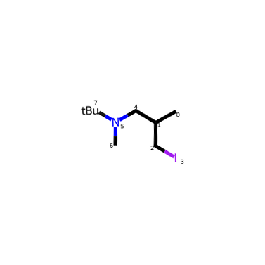 CC(CI)CN(C)C(C)(C)C